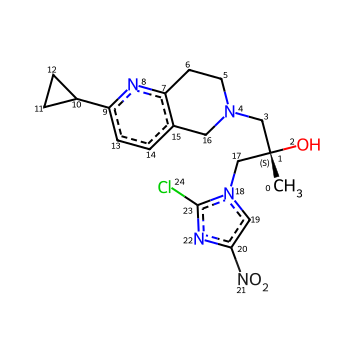 C[C@](O)(CN1CCc2nc(C3CC3)ccc2C1)Cn1cc([N+](=O)[O-])nc1Cl